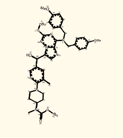 CCCCOc1nc(N(Cc2ccc(OC)cc2)Cc2ccc(OC)cc2)c2ncc(C(O)c3cnc(N4CCC(N(C)C(=O)OC(C)(C)C)CC4)c(C)c3)n2n1